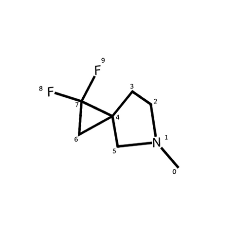 CN1CCC2(C1)CC2(F)F